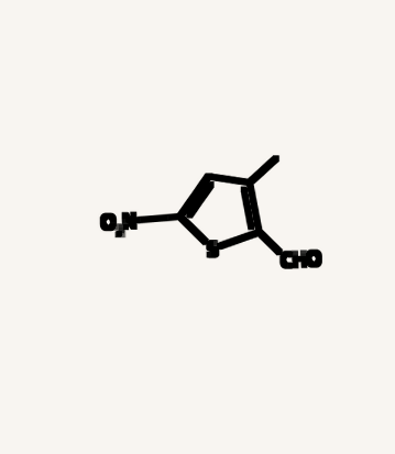 Cc1cc([N+](=O)[O-])sc1C=O